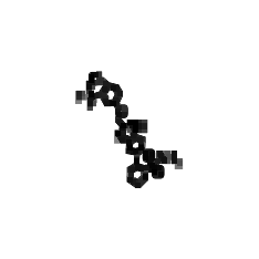 NS(=O)(=O)c1ccccc1-c1ccc2[nH]c(COc3ccc(Cl)c(C(F)(F)F)c3)nc2c1